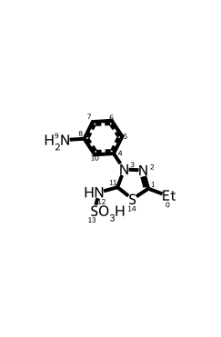 CCC1=NN(c2cccc(N)c2)C(NS(=O)(=O)O)S1